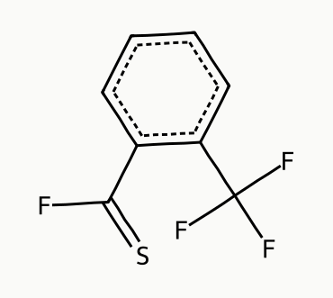 FC(=S)c1ccccc1C(F)(F)F